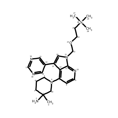 CC1(N)CCCN(c2ccnc3c2c(-c2cncnc2)cn3COCC[Si](C)(C)C)C1